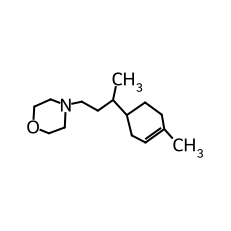 CC1=CCC(C(C)CCN2CCOCC2)CC1